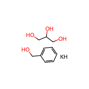 OCC(O)CO.OCc1ccccc1.[KH]